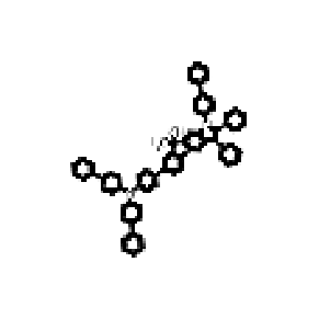 CC1(C)c2cc(-c3ccc(N(c4ccc(-c5ccccc5)cc4)c4ccc(-c5ccccc5)cc4)cc3)ccc2-c2cc3c(-c4ccccc4)c(-c4ccccc4)n(-c4ccc(-c5ccccc5)cc4)c3cc21